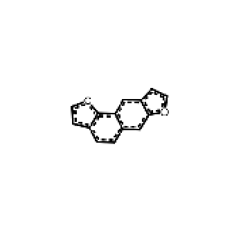 c1cc2cc3c(ccc4ccoc43)cc2o1